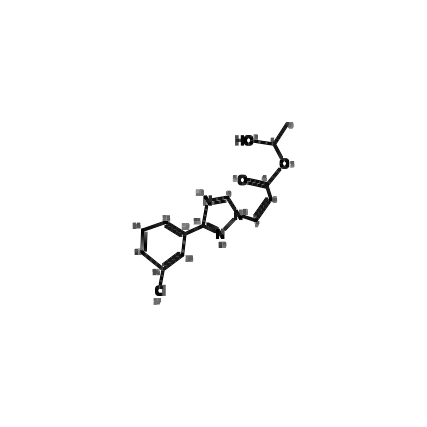 CC(O)OC(=O)/C=C\n1cnc(-c2cccc(Cl)c2)n1